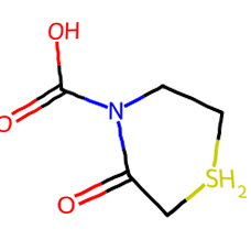 O=C(O)N1CC[SH2]CC1=O